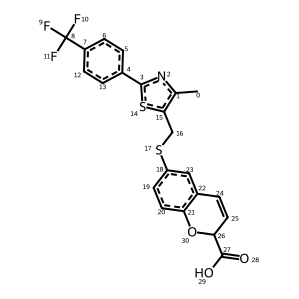 Cc1nc(-c2ccc(C(F)(F)F)cc2)sc1CSc1ccc2c(c1)C=CC(C(=O)O)O2